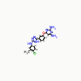 Cc1cc(Nc2nnc(-c3cccc(Oc4cc(N)nc(N)n4)c3)[nH]2)ccc1Cl